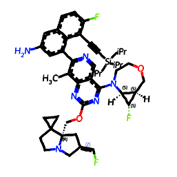 Cc1c(-c2cc(N)cc3ccc(F)c(C#C[Si](C(C)C)(C(C)C)C(C)C)c23)ncc2c(N3CCOC[C@H]4[C@H](F)[C@H]43)nc(OC[C@]34C/C(=C/F)CN3CCC43CC3)nc12